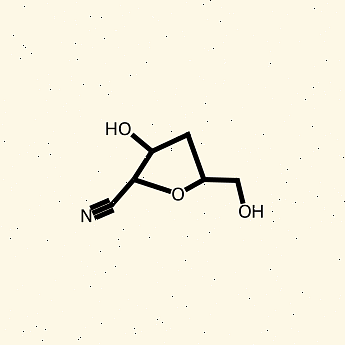 N#CC1OC(CO)CC1O